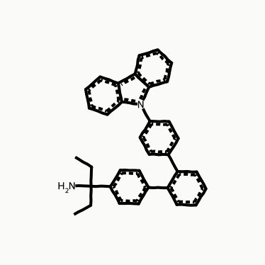 CCC(N)(CC)c1ccc(-c2ccccc2-c2ccc(-n3c4ccccc4c4ccccc43)cc2)cc1